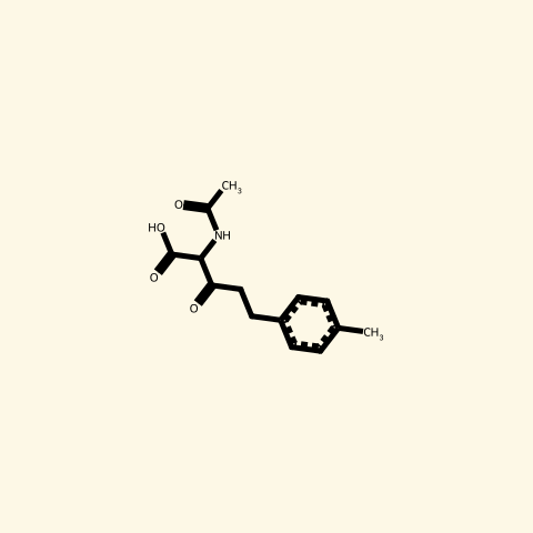 CC(=O)NC(C(=O)O)C(=O)CCc1ccc(C)cc1